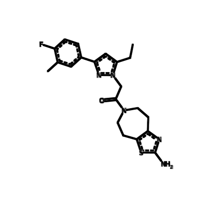 CCc1cc(-c2ccc(F)c(C)c2)nn1CC(=O)N1CCc2nc(N)sc2CC1